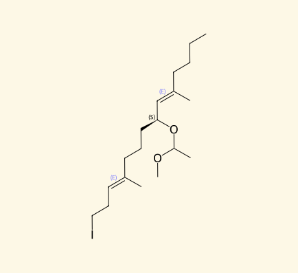 CCCC/C(C)=C/[C@H](CCC/C(C)=C/CCI)OC(C)OC